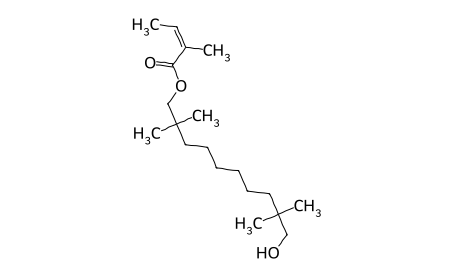 CC=C(C)C(=O)OCC(C)(C)CCCCCCC(C)(C)CO